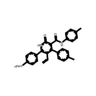 C=Cc1c(-c2ccc(CCCCC)cc2)[nH]c(=O)c(C(=O)Nc2ccc(C)cc2)c1-c1ccc(C)cc1